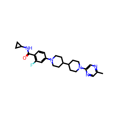 Cc1cnc(N2CCC(C3CCN(c4ccc(C(=O)NC5CC5)c(F)c4)CC3)CC2)cn1